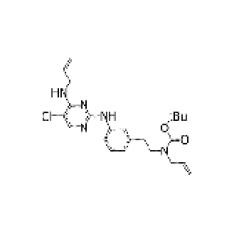 C=CCNc1nc(Nc2cccc(CCN(CC=C)C(=O)OC(C)(C)C)c2)ncc1Cl